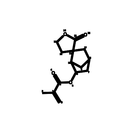 C=C(C)C(=O)OC1CC2CC1C1(CCOC1=O)C2